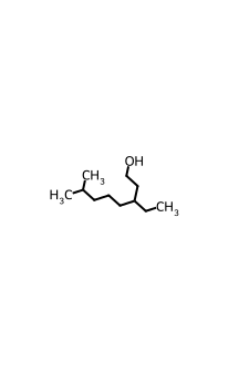 CCC(CCO)CCCC(C)C